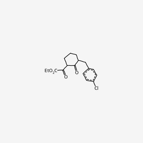 CCOC(=O)C(=O)C1CCCC(Cc2ccc(Cl)cc2)C1=O